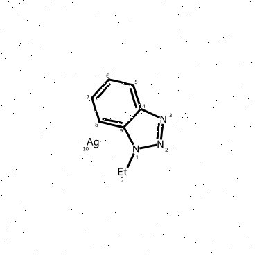 CCn1nnc2ccccc21.[Ag]